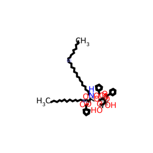 CCCCCCCC/C=C\CCCCCCCCCCCCCC(=O)N[C@@H](CO[C@@H]1O[C@H](CO)[C@@H](O)[C@H](OC(=O)c2ccccc2)[C@H]1OC(=O)c1ccccc1)[C@@H](/C=C/CCCCCCCCCCCCC)OC(=O)c1ccccc1